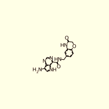 Nc1c[nH]c2c(C(=O)NCc3ccc4c(c3)NC(=O)CO4)ncnc12